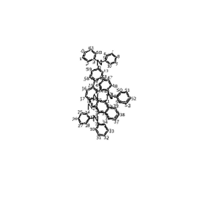 c1ccc(N(c2ccccc2)c2ccc(-c3ccc4nc5c(N(c6ccccc6)c6ccccc6)c6ccccc6c(N(c6ccccc6)c6ccccc6)c5n4c3)cc2)cc1